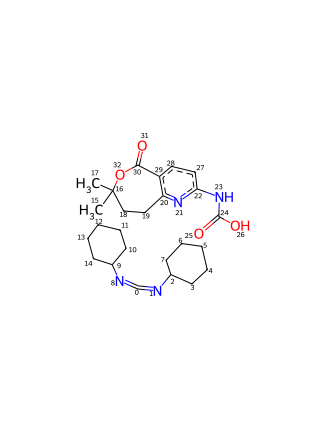 C(=NC1CCCCC1)=NC1CCCCC1.CC1(C)CCc2nc(NC(=O)O)ccc2C(=O)O1